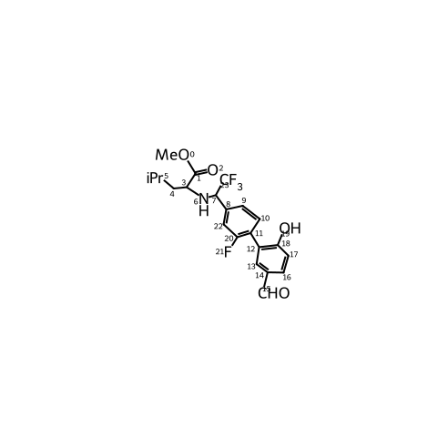 COC(=O)C(CC(C)C)NC(c1ccc(-c2cc(C=O)ccc2O)c(F)c1)C(F)(F)F